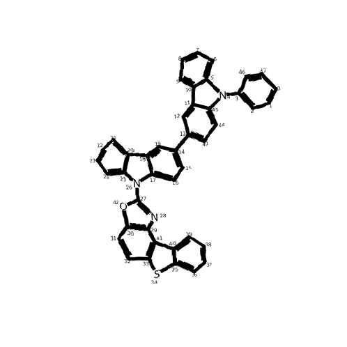 c1ccc(-n2c3ccccc3c3cc(-c4ccc5c(c4)c4ccccc4n5-c4nc5c(ccc6sc7ccccc7c65)o4)ccc32)cc1